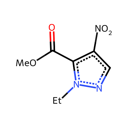 CCn1ncc([N+](=O)[O-])c1C(=O)OC